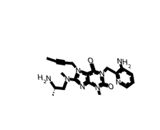 CC#CCn1c(N(C)C[C@H](C)N)nc2c1c(=O)n(Cc1ncccc1N)c(=O)n2C